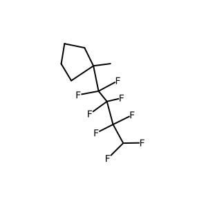 CC1(C(F)(F)C(F)(F)C(F)(F)C(F)F)CCCC1